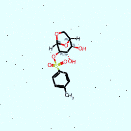 Cc1ccc(S(=O)(=O)O[C@H]2[C@@H]3OC[C@@H](O3)[C@@H](O)[C@@H]2O)cc1